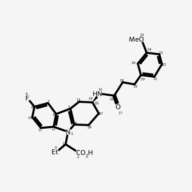 CCC(C(=O)O)n1c2c(c3cc(F)ccc31)C[C@@H](NC(=O)CCc1cccc(OC)c1)CC2